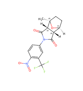 C[C@]12CC[C@H](O1)[C@@H]1C(=O)N(c3ccc([N+](=O)[O-])c(C(F)(F)F)c3)C(=O)[C@@H]12